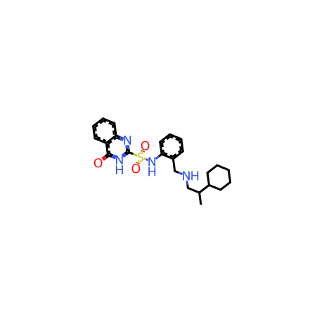 CC(CNCc1ccccc1NS(=O)(=O)c1nc2ccccc2c(=O)[nH]1)C1CCCCC1